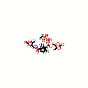 CC1OC(=O)OC1COC(=O)[C@H]1[C@@H]2CC[C@@](N)(C(=O)OCC3OC(=O)OC3C)[C@@H]21.CCS(=O)(=O)O